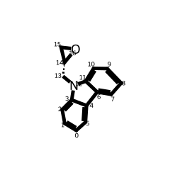 c1ccc2c(c1)c1ccccc1n2C[C@@H]1CO1